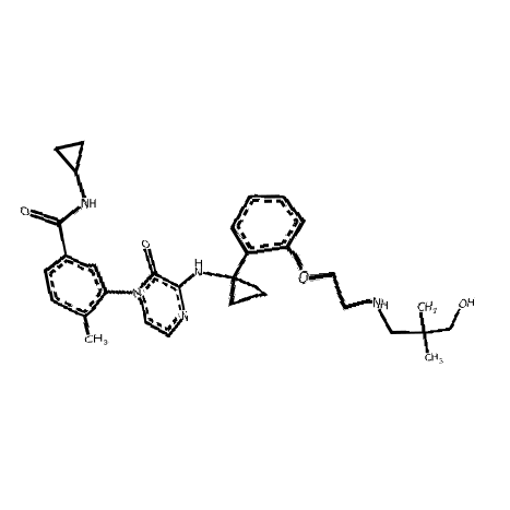 Cc1ccc(C(=O)NC2CC2)cc1-n1ccnc(NC2(c3ccccc3OCCNCC(C)(C)CO)CC2)c1=O